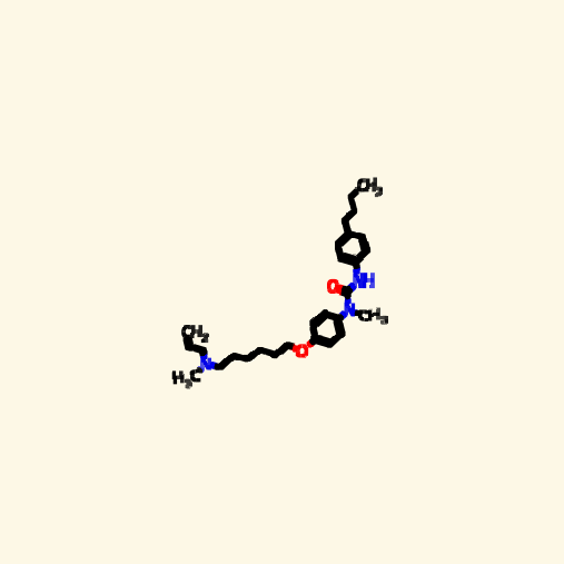 C=CCN(C)CCCCCCOc1ccc(N(C)C(=O)Nc2ccc(CCCC)cc2)cc1